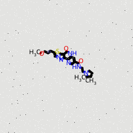 COC/C=C/c1cn2nc3c4ncc(C(=O)NCCN5CCCC5(C)C)cc4[nH]c(=O)c3c2s1